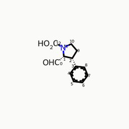 O=C[C@H]1[C@@H](c2ccccc2)CCN1C(=O)O